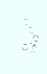 COc1cc(C(=O)O)ccc1NS(=O)(=O)c1cccc(C2CCC(C3CCCCC3)CC2)c1